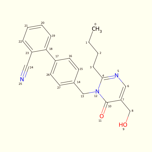 CCCCc1ncc(CO)c(=O)n1Cc1ccc(-c2ccccc2C#N)cc1